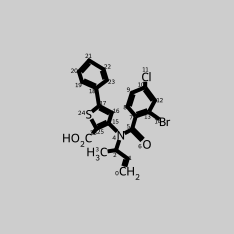 C=CC(C)N(C(=O)c1ccc(Cl)cc1Br)c1cc(-c2ccccc2)sc1C(=O)O